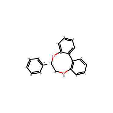 [c]1cccc2c1-c1[c]cccc1O[C@@H](c1ccccc1)CO2